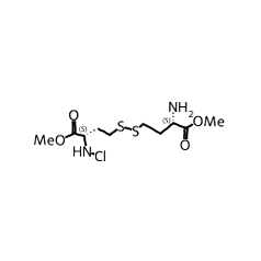 COC(=O)[C@H](CCSSCC[C@H](N)C(=O)OC)NCl